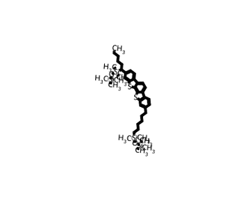 CCCCCC(c1ccc2c(c1)sc1c2ccc2c3ccc(CCCCCC[Si](C)(C)O[Si](C)(C)C)cc3sc21)[Si](C)(C)O[Si](C)(C)C